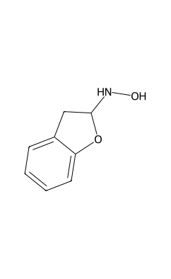 ONC1Cc2ccccc2O1